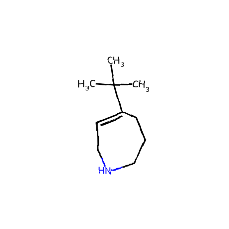 CC(C)(C)C1=CCNCCC1